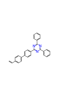 C=Cc1ccc(-c2ccc(-c3nc(-c4ccccc4)nc(-c4ccccc4)n3)cc2)cc1